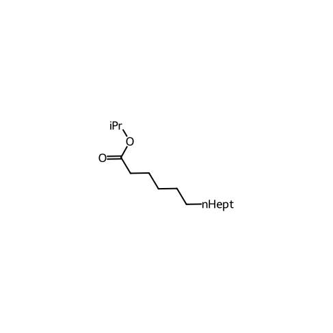 CCCCCCCCCCCCC(=O)OC(C)C